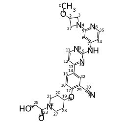 COC1CN(c2cc(Nc3nccc(-c4ccc(OC5CCN(C(=O)CO)CC5)c(C#N)c4)n3)ccn2)C1